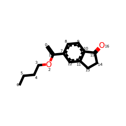 C=C(OCCCC)c1ccc2c(c1)CCC2=O